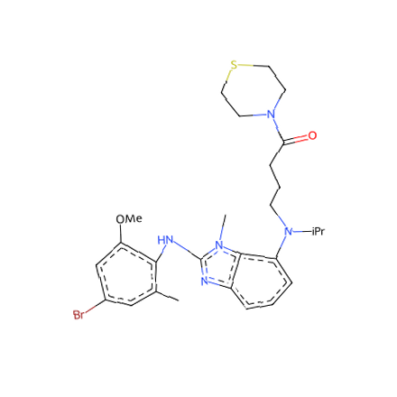 COc1cc(Br)cc(C)c1Nc1nc2cccc(N(CCCC(=O)N3CCSCC3)C(C)C)c2n1C